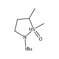 CC1CCN(C(C)(C)C)[SH]1(C)=O